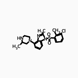 Cc1c(Cl)cccc1S(=O)(=O)n1c(C)nc2c(N3CCNC(C)C3)cccc21